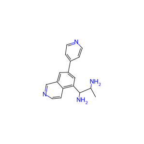 CC(N)C(N)c1cc(-c2ccncc2)cc2cnccc12